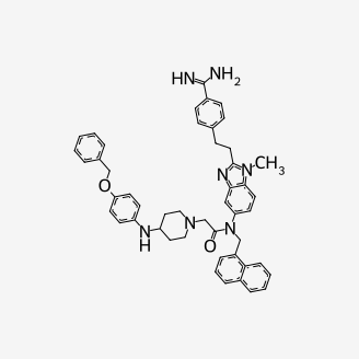 Cn1c(CCc2ccc(C(=N)N)cc2)nc2cc(N(Cc3cccc4ccccc34)C(=O)CN3CCC(Nc4ccc(OCc5ccccc5)cc4)CC3)ccc21